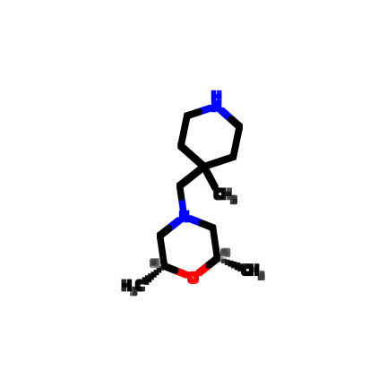 C[C@@H]1CN(CC2(C)CCNCC2)C[C@H](C)O1